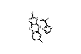 CC(=O)c1ncco1.Cc1ccc2nc3sc(=O)sc3nc2c1